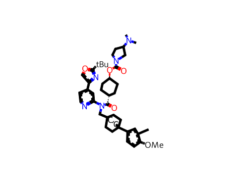 COc1ccc(C23CCC(CN(c4cc(-c5coc(C(C)(C)C)n5)ccn4)C(=O)[C@H]4CC[C@H](OC(=O)N5CCC(N(C)C)C5)CC4)(CC2)CC3)cc1C